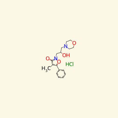 Cc1c(-c2ccccc2)on(CC(O)CN2CCOCC2)c1=O.Cl